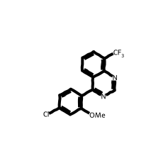 COc1cc(Cl)ccc1-c1ncnc2c(C(F)(F)F)cccc12